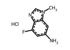 Cl.Cn1cnc2c(F)cc(N)cc21